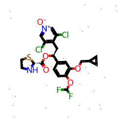 O=C(O[C@@H](Cc1c(Cl)c[n+]([O-])cc1Cl)c1ccc(OC(F)F)c(OCC2CC2)c1)[C@@H]1NCCS1